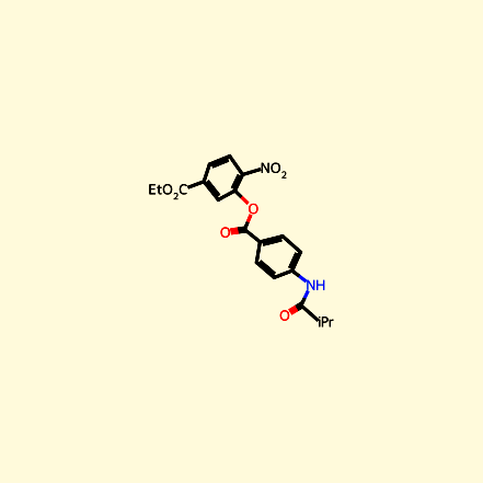 CCOC(=O)c1ccc([N+](=O)[O-])c(OC(=O)c2ccc(NC(=O)C(C)C)cc2)c1